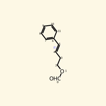 O=COCC/C=C/c1ccccc1